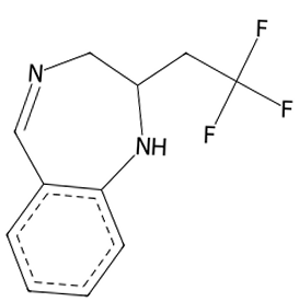 FC(F)(F)CC1CN=Cc2ccccc2N1